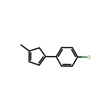 CC1=CC=C(c2ccc(Cl)cc2)C1